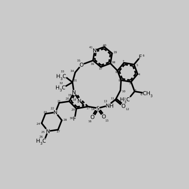 CC(C)c1cc(F)cc2c1CC(=O)NS(=O)(=O)c1nn(c(CN3CCN(C)CC3)c1F)C(C)(C)COc1cc-2ccn1